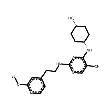 CCOc1cc(CCNc2ncc(C#N)c(N[C@H]3CC[C@@H](O)CC3)n2)ccn1